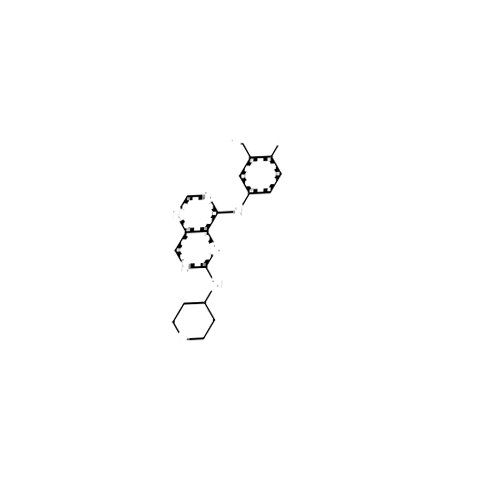 Clc1ccc(Nc2ncnc3cnc(NC4CCOCC4)nc23)cc1Cl